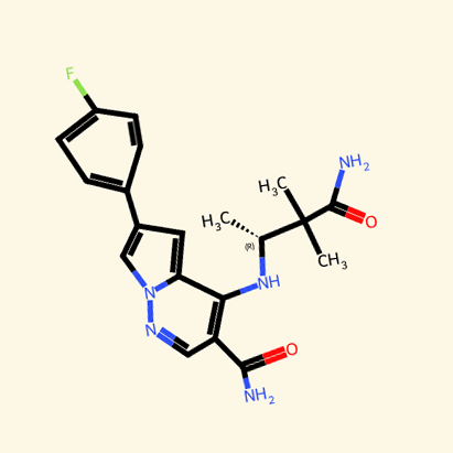 C[C@@H](Nc1c(C(N)=O)cnn2cc(-c3ccc(F)cc3)cc12)C(C)(C)C(N)=O